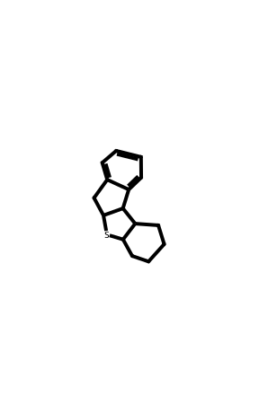 c1ccc2c(c1)CC1SC3CCCCC3C21